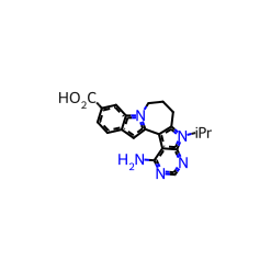 CC(C)n1c2c(c3c(N)ncnc31)-c1cc3ccc(C(=O)O)cc3n1CCC2